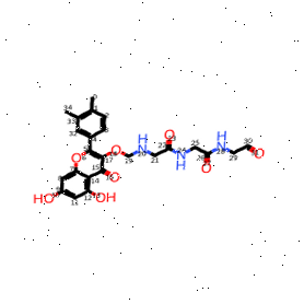 Cc1ccc(-c2oc3cc(O)cc(O)c3c(=O)c2OCNCC(=O)NCC(=O)NCC=O)cc1C